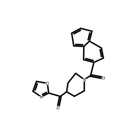 O=C(c1ncco1)C1CCN(C(=O)c2ccc3ccccc3c2)CC1